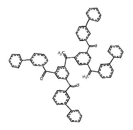 C=C(c1cc(C(=C)c2cccc(-c3ccccc3)c2)cc(C(=O)c2cccc(-c3ccccc3)c2)c1)c1cc(C(=O)c2cccc(-c3ccccc3)c2)cc(C(=O)c2cccc(-c3ccccc3)c2)c1